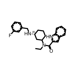 CCN(C(=O)c1cc2ccccc2[nH]1)C1CCC[C@@H](NCc2cccc(F)c2)C1